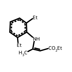 CCOC(=O)/C=C(/C)Nc1c(CC)cccc1CC